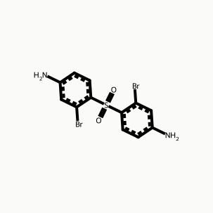 Nc1ccc(S(=O)(=O)c2ccc(N)cc2Br)c(Br)c1